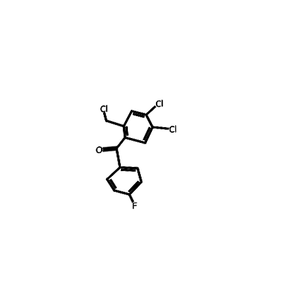 O=C(c1ccc(F)cc1)c1cc(Cl)c(Cl)cc1CCl